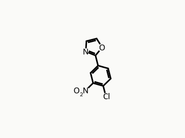 O=[N+]([O-])c1cc(-c2ncco2)ccc1Cl